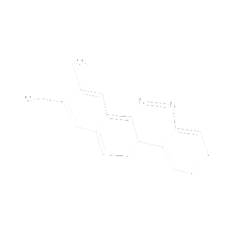 COc1cc2ccc3c4ccccc4nnc3c2cc1OC